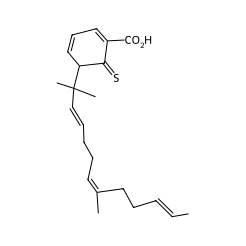 CC=CCCC(C)=CCCC=CC(C)(C)C1C=CC=C(C(=O)O)C1=S